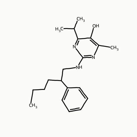 CCCCC(CNc1nc(C)c(O)c(C(C)C)n1)c1ccccc1